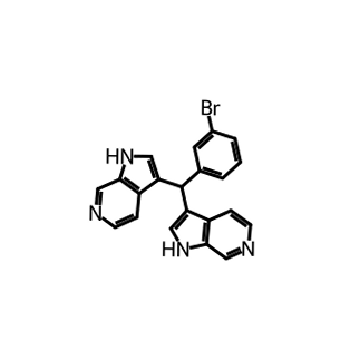 Brc1cccc(C(c2c[nH]c3cnccc23)c2c[nH]c3cnccc23)c1